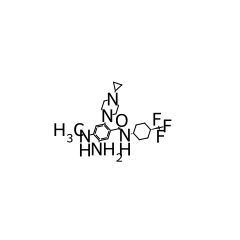 CNc1cc(N2CCN(C3CC3)CC2)c(C(=O)N[C@H]2CC[C@H](C(F)(F)F)CC2)cc1N